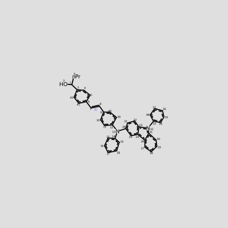 CCCC(O)c1ccc(/C=C/c2ccc(N(c3ccccc3)c3ccc4c(c3)c3ccccc3n4-c3ccccc3)cc2)cc1